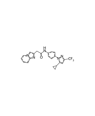 O=C(Cc1cn2ccccc2n1)Nc1ccc(-n2nc(C(F)(F)F)cc2C2CC2)cc1